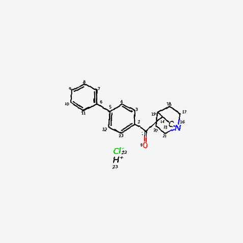 O=C(c1ccc(-c2ccccc2)cc1)C1CN2CCC1CC2.[Cl-].[H+]